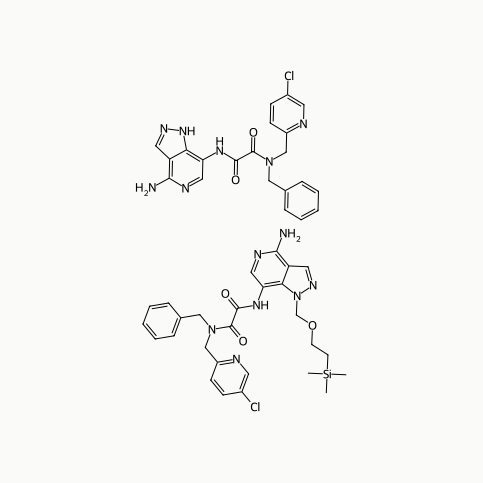 C[Si](C)(C)CCOCn1ncc2c(N)ncc(NC(=O)C(=O)N(Cc3ccccc3)Cc3ccc(Cl)cn3)c21.Nc1ncc(NC(=O)C(=O)N(Cc2ccccc2)Cc2ccc(Cl)cn2)c2[nH]ncc12